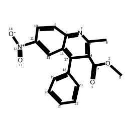 COC(=O)c1c(C)nc2ccc([N+](=O)[O-])cc2c1-c1ccccc1